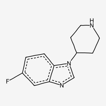 Fc1ccc2c(c1)ncn2C1CCNCC1